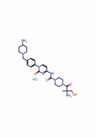 CC(N)(CO)C(=O)N1CCN(C(=O)Nc2ccn(-c3ccc(CN4CCC(N)CC4)cc3)c(=O)n2)CC1.Cl